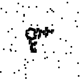 C1=CCCC=CCC1.FP(F)F.FP(F)F.FP(F)F.[Ru]